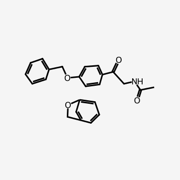 CC(=O)NCC(=O)c1ccc(OCc2ccccc2)cc1.c1cc2cc(c1)OC2